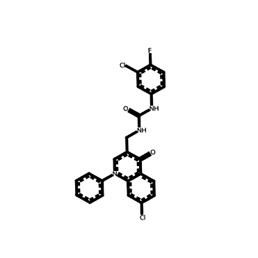 O=C(NCc1cn(-c2ccccc2)c2cc(Cl)ccc2c1=O)Nc1ccc(F)c(Cl)c1